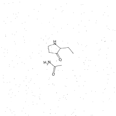 CC(N)=O.CCC1NCCC1=O